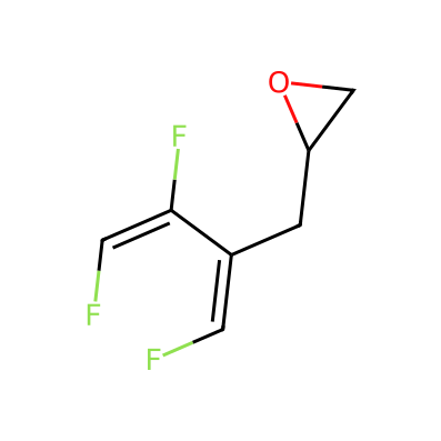 F/C=C(CC1CO1)\C(F)=C/F